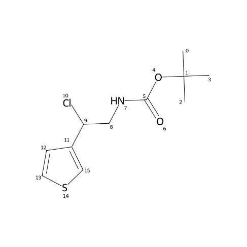 CC(C)(C)OC(=O)NCC(Cl)c1ccsc1